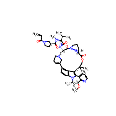 C=CC(=O)N1CC[C@H](C(=O)N(C)[C@H](C(=O)N[C@H]2CN3CCC=C(C3)c3ccc4c(c3)c(c(-c3cccnc3[C@H](C)OC)n4CC)CC(C)(C)COC(=O)[C@@H]3CCCN(N3)C2=O)C(C)C)C1